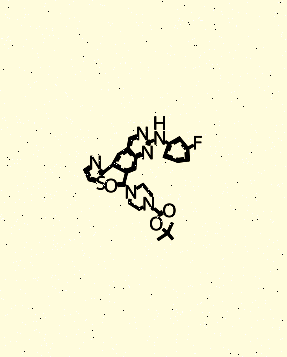 CC(C)(C)OC(=O)N1CCN(C(=O)c2cc3nc(Nc4cccc(F)c4)ncc3cc2-c2nccs2)CC1